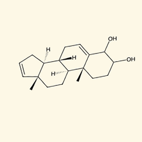 C[C@@]12C=CC[C@H]1[C@@H]1CC=C3C(O)C(O)CC[C@]3(C)[C@H]1CC2